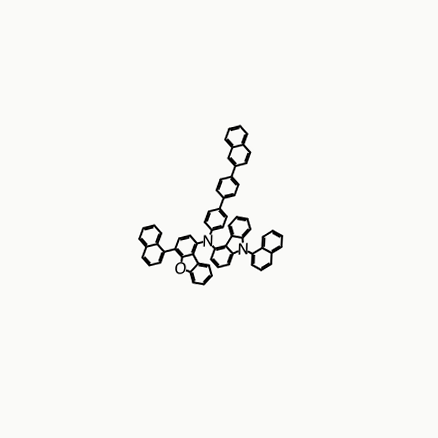 c1ccc2cc(-c3ccc(-c4ccc(N(c5ccc(-c6cccc7ccccc67)c6oc7ccccc7c56)c5cccc6c5c5ccccc5n6-c5cccc6ccccc56)cc4)cc3)ccc2c1